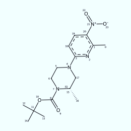 Cc1nc(N2CCN(C(=O)OC(C)(C)C)[C@@H](C)C2)ccc1[N+](=O)[O-]